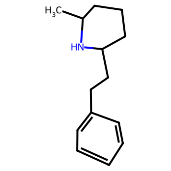 CC1CCCC(CCc2ccccc2)N1